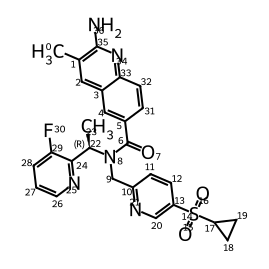 Cc1cc2cc(C(=O)N(Cc3ccc(S(=O)(=O)C4CC4)cn3)[C@H](C)c3ncccc3F)ccc2nc1N